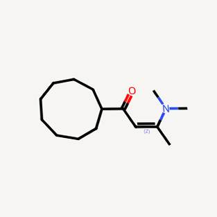 C/C(=C/C(=O)C1CCCCCCCC1)N(C)C